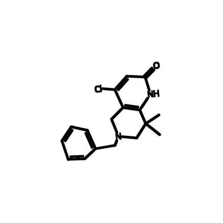 CC1(C)CN(Cc2ccccc2)Cc2c(Cl)cc(=O)[nH]c21